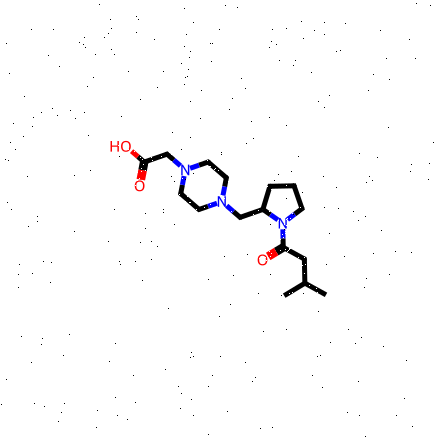 CC(C)CC(=O)N1CCCC1CN1CCN(CC(=O)O)CC1